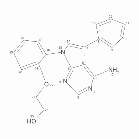 Nc1ncnc2c1c(-c1ccccc1)cn2-c1ccccc1OCCO